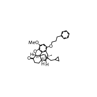 COc1cc(OCCCc2ccccc2)c2c3c1O[C@H]1C(=O)CC[C@H]4[C@@H](C2)[N@@+](C)(CC2CC2)CC[C@]314